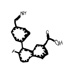 N=Cc1ccc(-c2c(F)ccc3ccc(C(=O)O)cc23)cc1